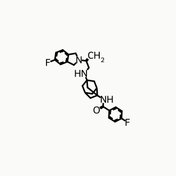 C=C(CNC12CC3CC(C1)C(NC(=O)c1ccc(F)cc1)(C3)C2)N1Cc2ccc(F)cc2C1